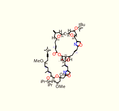 C=C1C[C@@H]2C[C@@H]3C[C@@H](O[Si](C)(C)C(C)(C)C)C[C@@H](O3)c3coc(n3)/C=C/C[C@H]3O[C@@H](/C(C)=C/c4coc(C[C@]5(OC)C[C@H](OC)C[C@H]([C@@H](/C=C(C)/C=C/[C@@H](CC#C[Si](C)(C)C)OC)O[Si](C(C)C)(C(C)C)C(C)C)O5)n4)[C@H](C)[C@@H](OC(=O)/C=C/C[C@@H](C1)O2)[C@H]3C